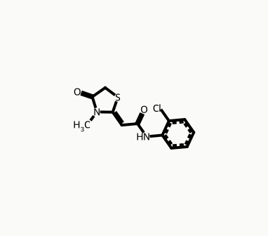 CN1C(=O)CS/C1=C\C(=O)Nc1ccccc1Cl